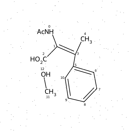 CC(=O)NC(C(=O)O)=C(C)c1ccccc1.CO